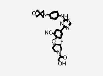 N#Cc1cc(-c2ncnc(Nc3ccc(N4CC5(COC5)C4)cc3)n2)ccc1O[C@H]1CCN(C(=O)CO)CC1F